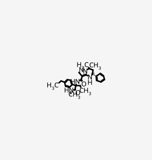 CCc1ccc(C(CC)(NC(=O)c2cnn3c2N[C@@H](c2ccccc2)CC3(C)C)C(=O)NC)cc1